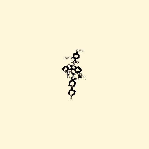 CCOc1ncccc1C1(NC(=O)N2CC3(CCN(C4CCNCC4)CC3)C2OC(=O)C(F)(F)F)C(=O)N(S(=O)(=O)c2ccc(OC)cc2OC)c2ccc(C#N)cc21